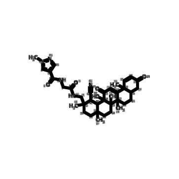 Cn1cc(C(=O)NCC(=O)NCC2(C)CCC3(C)CCC4(C)C5(C)CCC6CC(=O)C=CC6(C)C5=CC(=O)C4(O)C3C2C#N)cn1